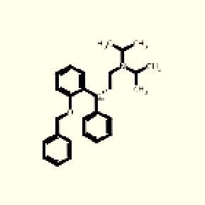 CC(C)N(CC[C@H](c1ccccc1)c1ccccc1OCc1ccccc1)C(C)C